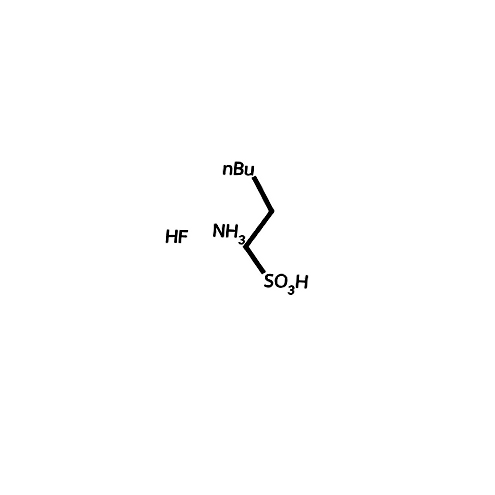 CCCCCCS(=O)(=O)O.F.N